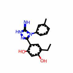 CCc1cc(-c2n[nH]c(=N)n2-c2cccc(C)c2)c(O)cc1O